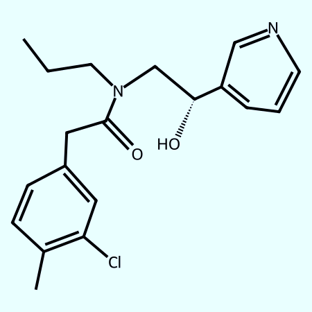 CCCN(C[C@@H](O)c1cccnc1)C(=O)Cc1ccc(C)c(Cl)c1